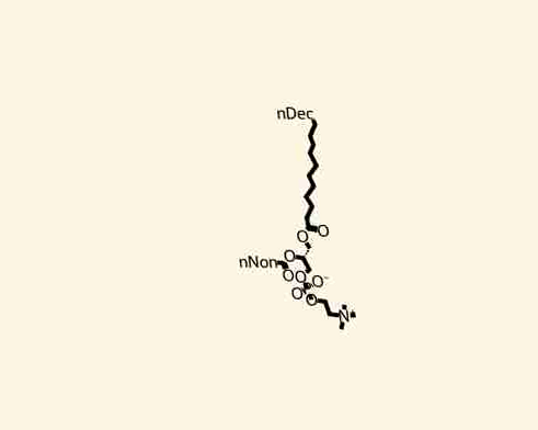 CCCCCCCCCCCCCCCCCCCCC(=O)OC[C@H](COP(=O)([O-])OCC[N+](C)(C)C)OC(=O)CCCCCCCCC